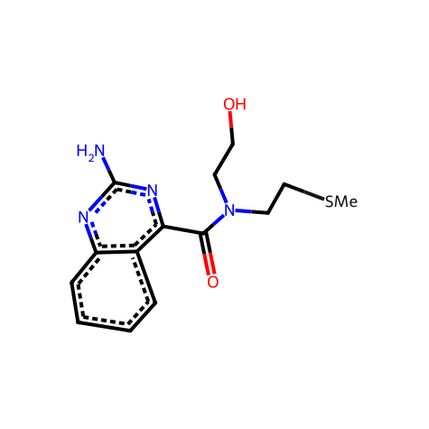 CSCCN(CCO)C(=O)c1nc(N)nc2ccccc12